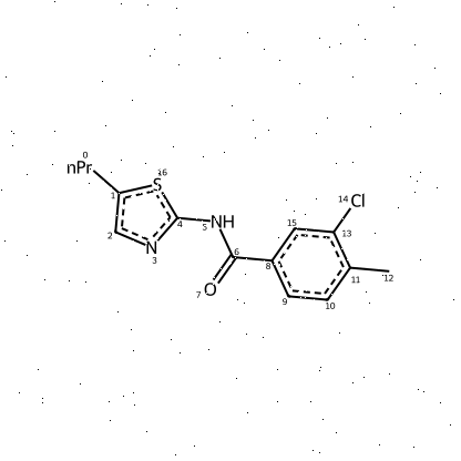 CCCc1cnc(NC(=O)c2ccc(C)c(Cl)c2)s1